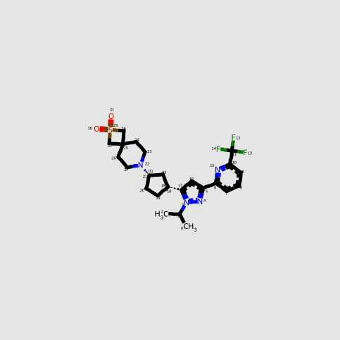 CC(C)n1nc(-c2cccc(C(F)(F)F)n2)cc1[C@@H]1CC[C@H](N2CCC3(CC2)CS(=O)(=O)C3)C1